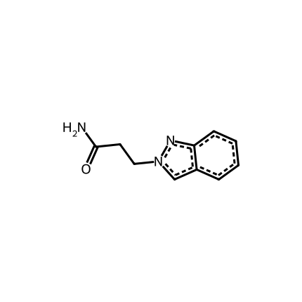 NC(=O)CCn1cc2ccccc2n1